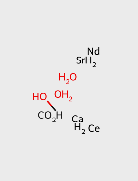 O.O.O=C(O)O.[CaH2].[Ce].[Nd].[SrH2]